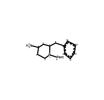 CCCC(C)N1CCC(N)CC1Cc1ccccc1